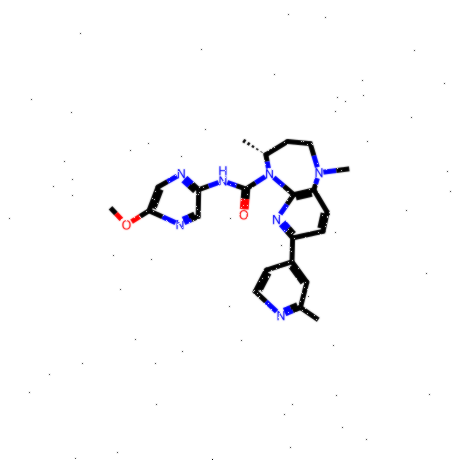 COc1cnc(NC(=O)N2c3nc(-c4ccnc(C)c4)ccc3N(C)CC[C@H]2C)cn1